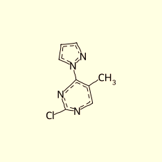 Cc1cnc(Cl)nc1-n1cccn1